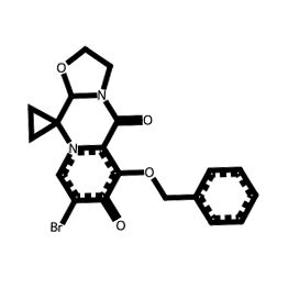 O=C1c2c(OCc3ccccc3)c(=O)c(Br)cn2C2(CC2)C2OCCN12